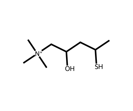 CC(S)CC(O)C[N+](C)(C)C